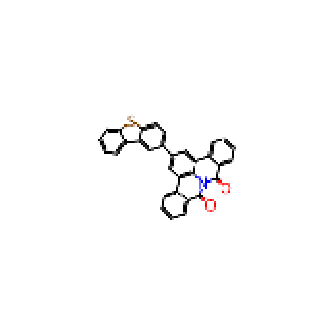 O=c1c2ccccc2c2cc(-c3ccc4sc5ccccc5c4c3)cc3c4ccccc4c(=O)n1c23